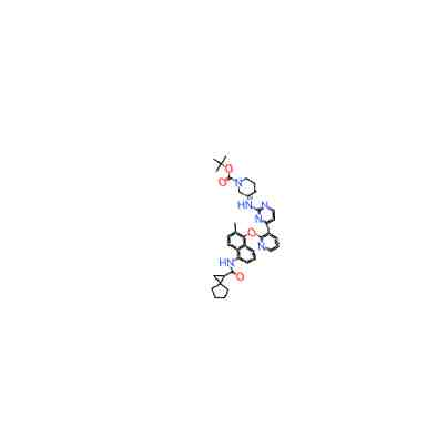 Cc1ccc2c(NC(=O)C3CC34CCCC4)cccc2c1Oc1ncccc1-c1ccnc(N[C@H]2CCCN(C(=O)OC(C)(C)C)C2)n1